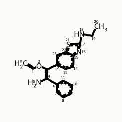 C=CO/C(=C(\N)c1ccccc1)c1ccc2nc(NCC)sc2c1